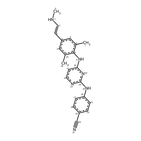 CN/C=C/c1cc(C)c(Nc2ccnc(Nc3ccc(C#N)cc3)n2)c(C)c1